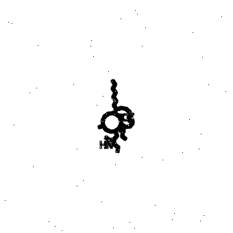 CCCCCCCC1CCCCC2CCCC3(C)CC1CCCC(C)CCC(CC1C(C)NC1CC)C(CCC)[C@@H]3CC2